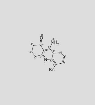 Nc1c2c(nc3c(Br)cccc13)CCCC2=O